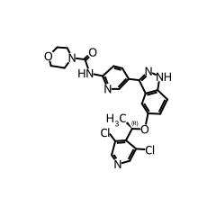 C[C@@H](Oc1ccc2[nH]nc(-c3ccc(NC(=O)N4CCOCC4)nc3)c2c1)c1c(Cl)cncc1Cl